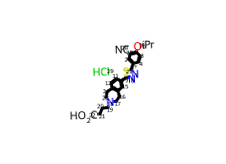 CC(C)Oc1ccc(-c2nnc(-c3ccc4c(c3)CCN(CCCC(=O)O)CC4)s2)cc1C#N.Cl